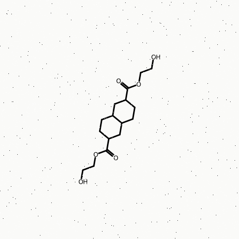 O=C(OCCO)C1CCC2CC(C(=O)OCCO)CCC2C1